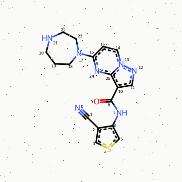 N#Cc1cscc1NC(=O)c1cnn2ccc(N3CCCNCC3)nc12